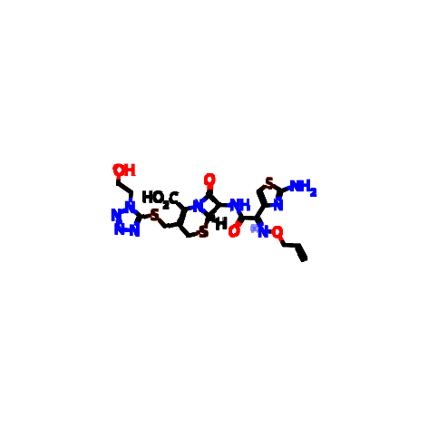 C=CCO/N=C(/C(=O)NC1C(=O)N2C(C(=O)O)=C(CSc3nnnn3CCO)CS[C@H]12)c1csc(N)n1